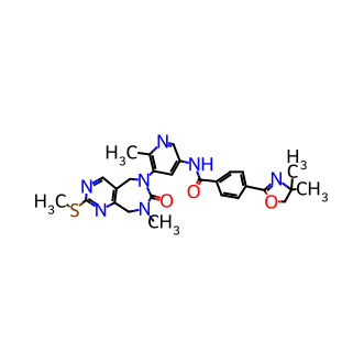 CSc1ncc2c(n1)CN(C)C(=O)N(c1cc(NC(=O)c3ccc(C4=NC(C)(C)CO4)cc3)cnc1C)C2